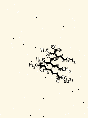 CC(C)(C)CCCCCC(=O)[O-].CCCCC(CC)C(=O)[O-].CCCCC(CC)C(=O)[O-].[Sb+3]